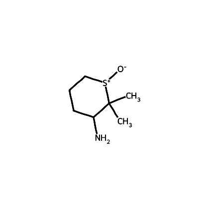 CC1(C)C(N)CCC[S+]1[O-]